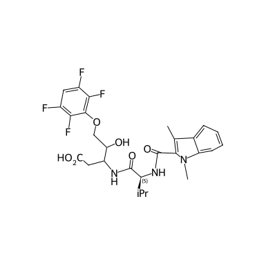 Cc1c(C(=O)N[C@H](C(=O)NC(CC(=O)O)C(O)COc2c(F)c(F)cc(F)c2F)C(C)C)n(C)c2ccccc12